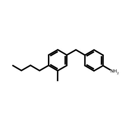 CCCCc1ccc(Cc2ccc(N)cc2)cc1C